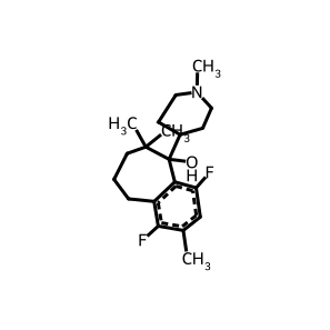 Cc1cc(F)c2c(c1F)CCCC(C)(C)C2(O)C1CCN(C)CC1